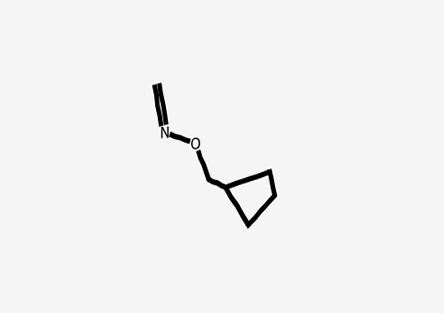 [CH]=NOCC1CCC1